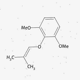 COc1cccc(OC)c1OC=C(C)C